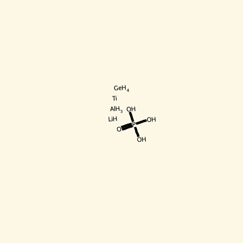 O=P(O)(O)O.[AlH3].[GeH4].[LiH].[Ti]